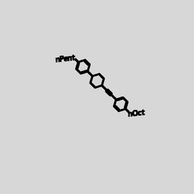 CCCCCCCCc1ccc(C#CC2CCC(c3ccc(CCCCC)cc3)CC2)cc1